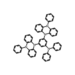 c1ccc(N(c2ccccc2)c2cc(N3c4ccccc4N(c4ccccc4)c4ccccc43)cc(N3c4ccccc4N(c4ccccc4)c4ccccc43)c2)cc1